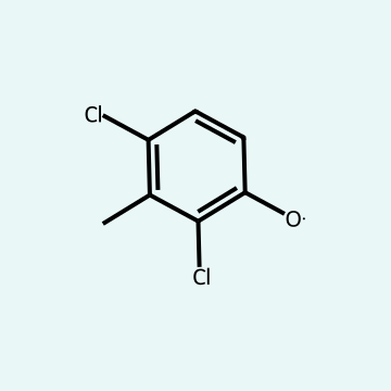 Cc1c(Cl)ccc([O])c1Cl